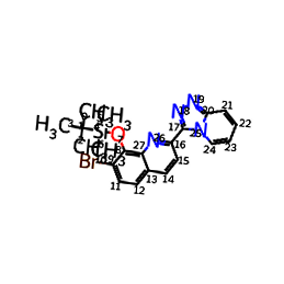 CC(C)(C)[Si](C)(C)Oc1c(Br)ccc2ccc(-c3nnc4ccccn34)nc12